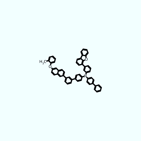 Cc1ccccc1Oc1ccc2cc(-c3cccc(-c4ccc(N(c5ccc(-c6ccccc6)cc5)c5cccc(-c6cccc7c6oc6ccccc67)c5)cc4)c3)ccc2c1